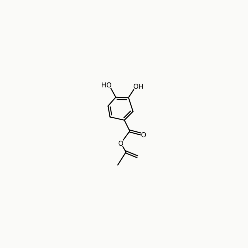 C=C(C)OC(=O)c1ccc(O)c(O)c1